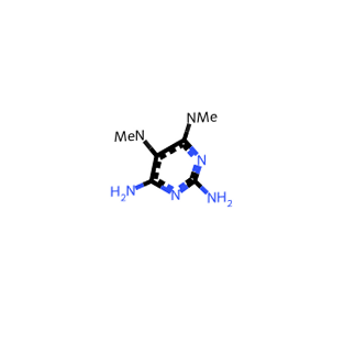 CNc1nc(N)nc(N)c1NC